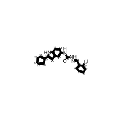 O=C(N/N=C/c1ccccc1Cl)Nc1ccc2[nH]c(-c3ccccc3)cc2c1